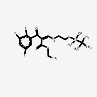 CCOC(=O)/C(=C\NCCO[Si](C)(C)C(C)(C)C)C(=O)c1cc(I)cc(F)c1F